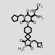 CN1C(=O)N(CC2COC2)C2(CC3(CCC(N4C(=O)/C(=C(\N)NCC(F)(F)F)C(=O)N(CC5CCCC5)C4=O)CC3)C2)C1=O